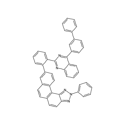 c1ccc(-c2cccc(-c3nc(-c4ccccc4-c4ccc5c(ccc6ccc7nn(-c8ccccc8)nc7c65)c4)nc4ccccc34)c2)cc1